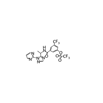 CC(NC(=O)c1cc(OS(=O)(=O)C(F)(F)F)cc(C(F)(F)F)c1)c1ncnn1-c1ncccn1